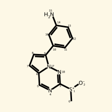 C[S+]([O-])c1ncc2ccc(-c3cccc(N)c3)n2n1